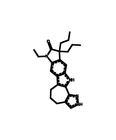 CCCC1(CCC)C(=O)N(CC)c2cc3c4c([nH]c3cc21)-c1n[nH]cc1CCC4